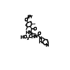 Cc1cc(OC(C)C)cc(C)c1C(=O)N[C@@H](CNC(=O)NCc1ccncc1)C(=O)O